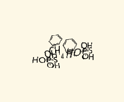 C.OP(O)(O)=S.OP(O)(O)=S.c1ccccc1.c1ccccc1